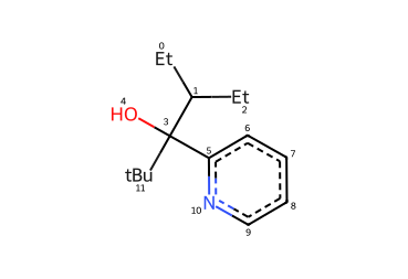 CCC(CC)C(O)(c1ccccn1)C(C)(C)C